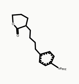 CCCCCc1ccc(CCCCC2CCCOC2=O)cc1